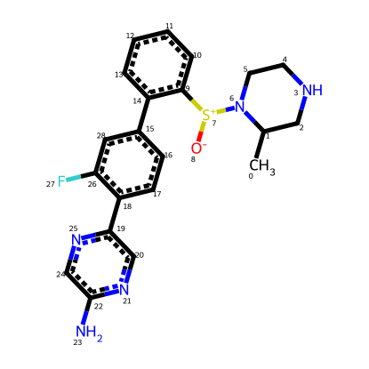 CC1CNCCN1[S+]([O-])c1ccccc1-c1ccc(-c2cnc(N)cn2)c(F)c1